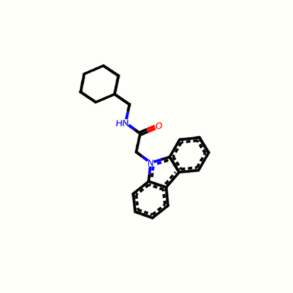 O=C(Cn1c2ccccc2c2ccccc21)NCC1CCCCC1